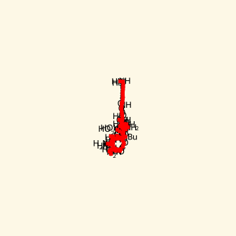 CCCC[C@H](NC(=O)[C@H](CNC(=O)[C@H](Cc1c[nH]cn1)NC(=O)[C@H](CCC(N)=O)NC(=O)[C@H](CO)NC(=O)CNC(=O)COCCOCCNC(=O)CCCCCCCCCCCCCCCC1=NNNN1)NC(=O)CN(CC(=O)O)CC(=O)O)C(=O)N[C@H]1CCC(=O)CCCCC[C@@H](C(N)=O)NC(=O)[C@H](Cc2c[nH]c3ccccc23)NC(=O)[C@H](CCCNC(=N)N)NC(=O)[C@@H](Cc2ccccc2)NC(=O)[C@@H]2C[C@@H](O)CN2C1=O